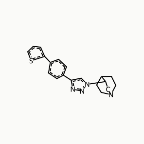 c1csc(-c2ccc(-c3cn(C4CN5CCC4CC5)nn3)cc2)c1